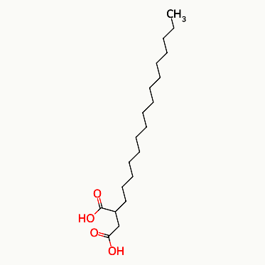 CCCCCCCCCCCCCCCCC(CC(=O)O)C(=O)O